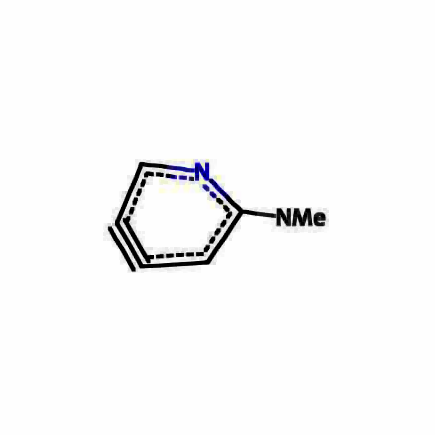 CNc1cc#ccn1